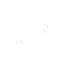 NS(=O)(=O)c1ccc(-n2nc(C=O)cc2-c2ccc(F)cc2)cc1